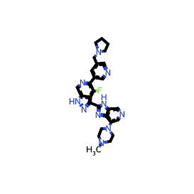 CN1CCN(c2cncc3[nH]c(-c4n[nH]c5cnc(-c6cncc(CN7CCCC7)c6)c(F)c45)nc23)CC1